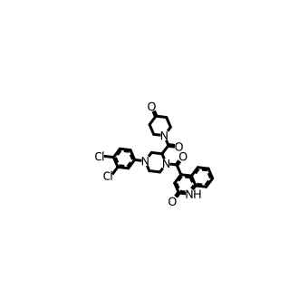 O=C1CCN(C(=O)C2CN(c3ccc(Cl)c(Cl)c3)CCN2C(=O)c2cc(=O)[nH]c3ccccc23)CC1